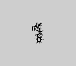 CC(C)(CC(O)(C=O)C(F)(F)F)C1Cc2ccccc2O1